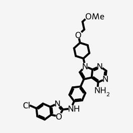 COCCOC1CCC(n2cc(-c3ccc(Nc4nc5cc(Cl)ccc5o4)cc3)c3c(N)ncnc32)CC1